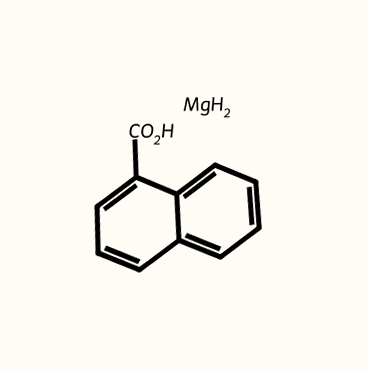 O=C(O)c1cccc2ccccc12.[MgH2]